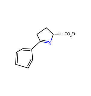 CCOC(=O)[C@H]1CCC(c2ccccc2)=N1